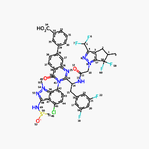 CC1Cc2c(C(F)F)nn(CC(=O)NC(Cc3cc(F)cc(F)c3)c3nc4cc(-c5cccc(C(=O)O)c5)ccc4c(=O)n3-c3ccc(Cl)c4c(N[S+](C)[O-])nn(C)c34)c2C1(F)F